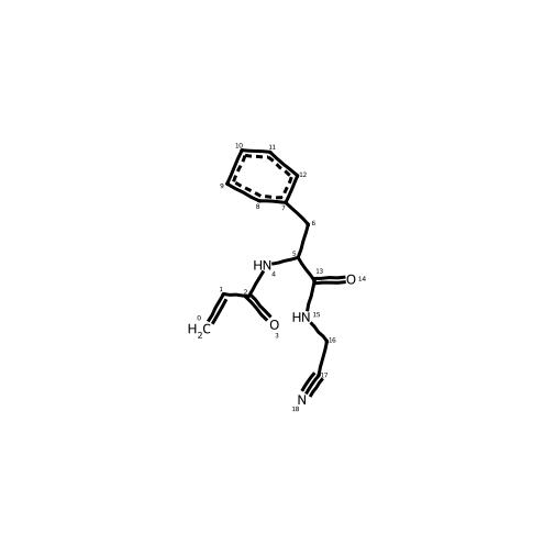 C=CC(=O)NC(Cc1ccccc1)C(=O)NCC#N